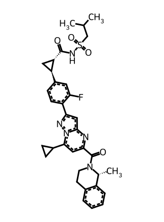 CC(C)CS(=O)(=O)NC(=O)[C@H]1C[C@@H]1c1ccc(-c2cc3nc(C(=O)N4CCc5ccccc5[C@H]4C)cc(C4CC4)n3n2)c(F)c1